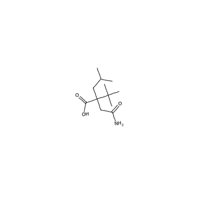 CC(C)CC(CC(N)=O)(C(=O)O)C(C)(C)C